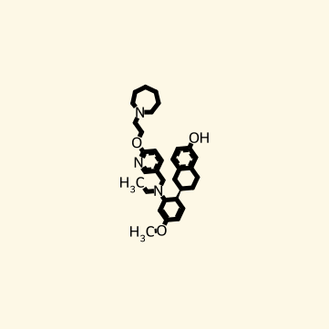 CCN(Cc1ccc(OCCN2CCCCCC2)nc1)C1C=C(OC)C=CC1[C@@H]1CCc2cc(O)ccc2C1